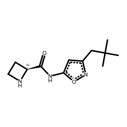 CC(C)(C)Cc1cc(NC(=O)[C@@H]2CCN2)on1